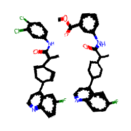 CC(C(=O)Nc1ccc(Cl)c(Cl)c1)C1CCC(c2ccnc3ccc(F)cc23)CC1.COC(=O)c1cccc(NC(=O)C(C)C2CCC(c3ccnc4ccc(F)cc34)CC2)c1